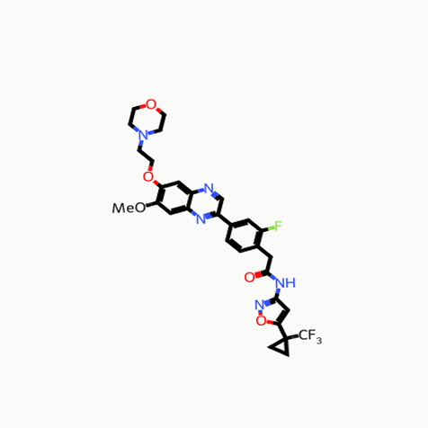 COc1cc2nc(-c3ccc(CC(=O)Nc4cc(C5(C(F)(F)F)CC5)on4)c(F)c3)cnc2cc1OCCN1CCOCC1